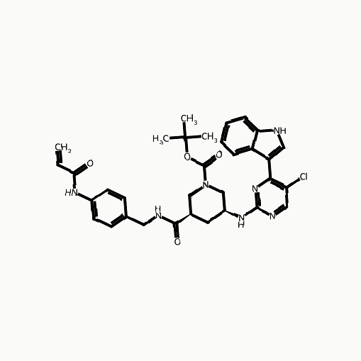 C=CC(=O)Nc1ccc(CNC(=O)[C@@H]2C[C@H](Nc3ncc(Cl)c(-c4c[nH]c5ccccc45)n3)CN(C(=O)OC(C)(C)C)C2)cc1